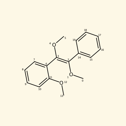 COC(=C(OC)c1ccccc1OC)c1ccccc1